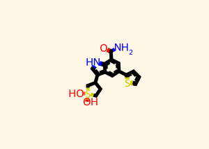 NC(=O)c1cc(-c2cccs2)cc2c(C3CCS(O)(O)C3)c[nH]c12